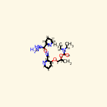 C=C(COc1cccnc1C#N)OC(=O)N(CC)CC.NNC(=O)c1ccccn1